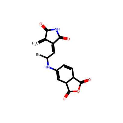 C=C1C(=O)NC(=O)/C1=C/C(CC)NC1=CC2C(=O)OC(=O)C2C=C1